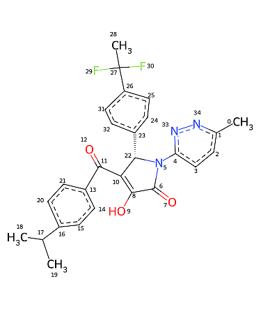 Cc1ccc(N2C(=O)C(O)=C(C(=O)c3ccc(C(C)C)cc3)[C@@H]2c2ccc(C(C)(F)F)cc2)nn1